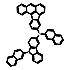 C1=C(N(c2ccc3c(c2)-c2cccc4cc5ccccc5c-3c24)c2ccc3ccccc3c2)CCc2c1c1ccccc1n2-c1ccc2ccccc2c1